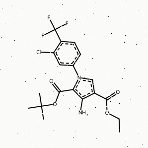 CCOC(=O)c1cn(-c2ccc(C(F)(F)F)c(Cl)c2)c(C(=O)OC(C)(C)C)c1N